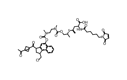 C=C(CC(NC(=O)CCCCCN1C(=O)C=CC1=O)C(=O)O)SC(C)COC(=O)N(C)CCN(C)C(=O)Oc1cc2c(c3ccccc13)C(CCl)CC2C(=O)C12CC(C(C)=O)(C1)C2